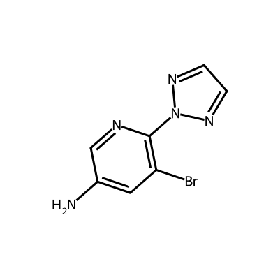 Nc1cnc(-n2nccn2)c(Br)c1